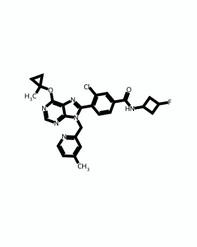 Cc1ccnc(Cn2c(-c3ccc(C(=O)NC4CC(F)C4)cc3Cl)nc3c(OC4(C)CC4)ncnc32)c1